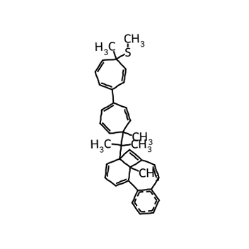 CSC1(C)C=CC=C(C2=CC=CC(C)(C(C)(C)C34C=CC=C5c6ccccc6C=CC(=C3)C54C)C=C2)C=C1